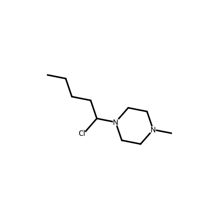 CCCCC(Cl)N1CCN(C)CC1